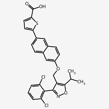 CC(C)c1onc(-c2c(Cl)cccc2Cl)c1COc1ccc2cc(-c3ccc(C(=O)O)s3)ccc2c1